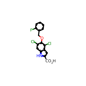 O=C(O)c1cc2c(Cl)c(OCc3ccccc3F)c(Cl)cc2[nH]1